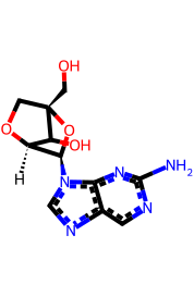 Nc1ncc2ncn([C@@H]3O[C@@]4(CO)CO[C@H]3C4O)c2n1